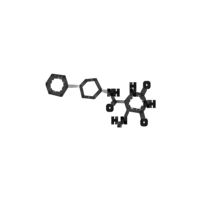 Nc1c(C(=O)N[C@H]2CC[C@@H](c3ccccc3)CC2)[nH]c(=O)[nH]c1=O